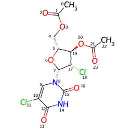 CC(=O)OC[C@H]1O[C@@H](n2cc(Cl)c(=O)[nH]c2=O)[C@@H](Cl)[C@@H]1OC(C)=O